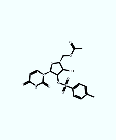 CC(=O)OC[C@@H]1O[C@H](n2ccc(=O)[nH]c2=O)C(OS(=O)(=O)c2ccc(C)cc2)C1O